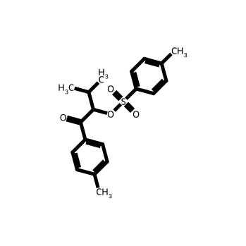 Cc1ccc(C(=O)C(OS(=O)(=O)c2ccc(C)cc2)C(C)C)cc1